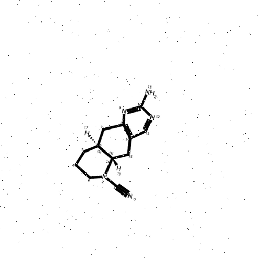 N#CN1CCC[C@H]2Cc3nc(N)ncc3C[C@@H]21